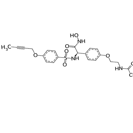 CC#CCOc1ccc(S(=O)(=O)N[C@@H](C(=O)NO)c2ccc(OCCNC(C)=O)cc2)cc1